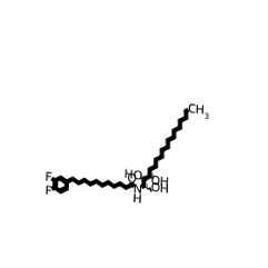 CCCCCCCCCCCCCC[C@@H](O)[C@@H](O)[C@H](CO)NC(=O)CCCCCCCCCCc1ccc(F)c(F)c1